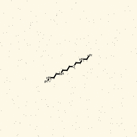 CC(C)CNCCOCCCNCCNC(C)C